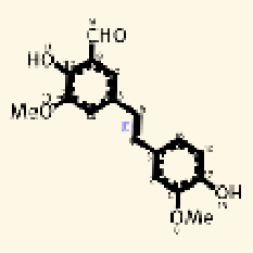 COc1cc(/C=C/c2cc(C=O)c(O)c(OC)c2)ccc1O